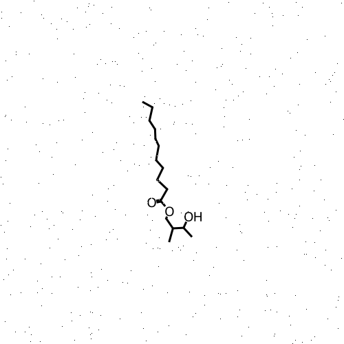 CCCCCCCCCCC(=O)OCC(C)C(C)O